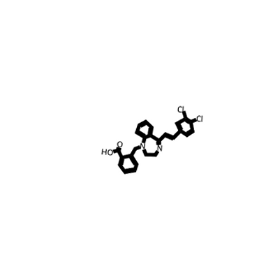 O=C(O)c1ccccc1CN1CCN=C(C=Cc2ccc(Cl)c(Cl)c2)c2ccccc21